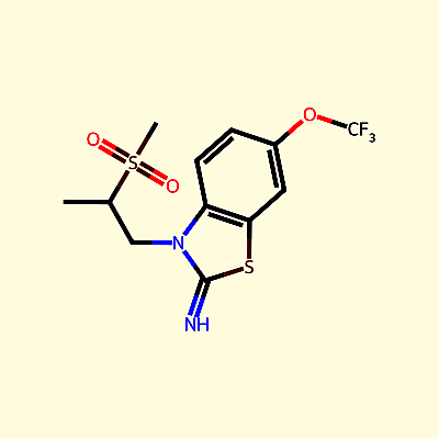 CC(Cn1c(=N)sc2cc(OC(F)(F)F)ccc21)S(C)(=O)=O